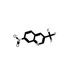 O=[N+]([O-])c1ccc2cc(C(F)(F)F)cnc2c1